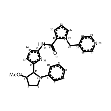 COC1CCN(c2ccccc2)C1c1csc(NC(=O)c2cccn2Cc2ccncc2)n1